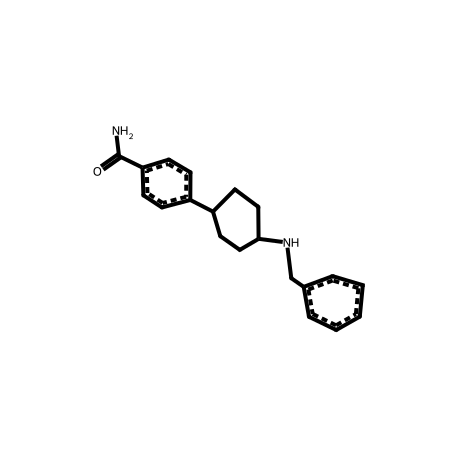 NC(=O)c1ccc(C2CCC(NCc3ccccc3)CC2)cc1